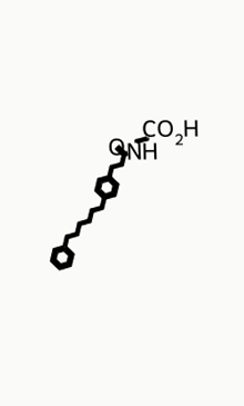 O=C(O)CCNC(=O)CCc1ccc(CCCCCCc2ccccc2)cc1